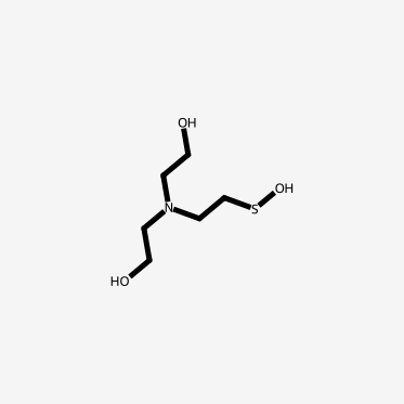 OCCN(CCO)CCSO